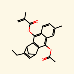 C=C(C)C(=O)Oc1c2c(c(OC(C)=O)c3cc(C)ccc13)C1C=C(CC)C2C1